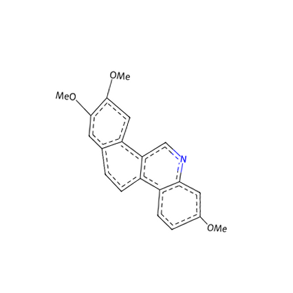 COc1ccc2c(c1)ncc1c3cc(OC)c(OC)cc3ccc21